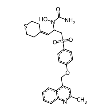 Cc1cc(COc2ccc(S(=O)(=O)CC(C=C3CCSCC3)N(O)C(N)=O)cc2)c2ccccc2n1